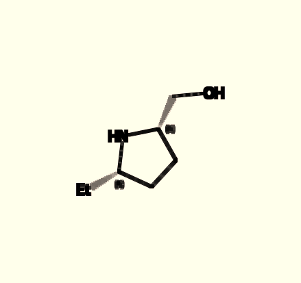 CC[C@H]1CC[C@@H](CO)N1